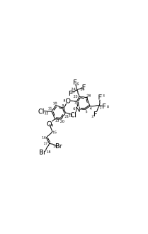 FC(F)(F)c1cnc(Oc2cc(Cl)c(OCC=C(Br)Br)cc2Cl)c(C(F)(F)F)c1